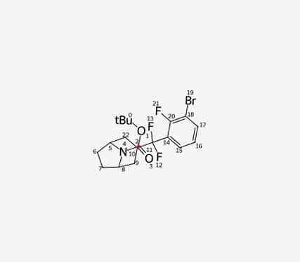 CC(C)(C)OC(=O)N1C2CCC1CC(C(F)(F)c1cccc(Br)c1F)C2